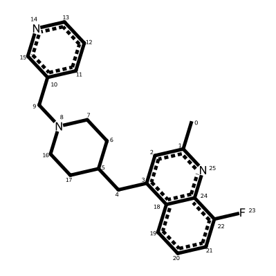 Cc1cc(CC2CCN(Cc3cccnc3)CC2)c2cccc(F)c2n1